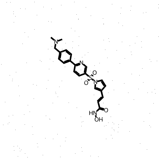 CN(C)Cc1ccc(-c2ccc(S(=O)(=O)n3ccc(C=CC(=O)NO)c3)cn2)cc1